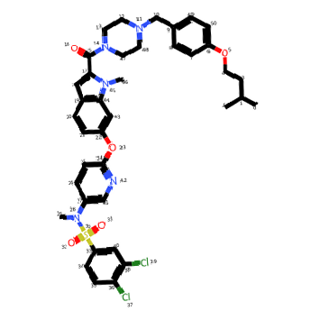 CC(C)CCOc1ccc(CN2CCN(C(=O)c3cc4ccc(Oc5ccc(N(C)S(=O)(=O)c6ccc(Cl)c(Cl)c6)cn5)cc4n3C)CC2)cc1